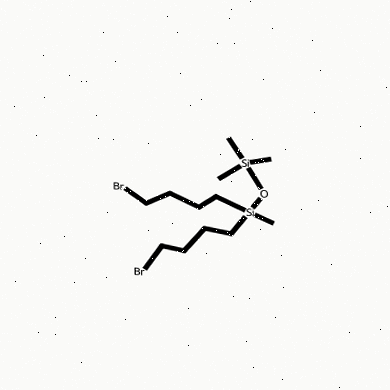 C[Si](C)(C)O[Si](C)(CCCCBr)CCCCBr